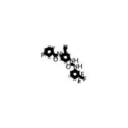 N#Cc1cc(NC(=O)Nc2cccc(C(F)(F)F)c2)ccc1NC(=O)c1cccc(F)c1